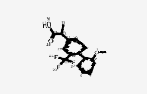 COc1ccccc1-c1ccc(C(C)C(=O)O)cc1C(F)(F)F